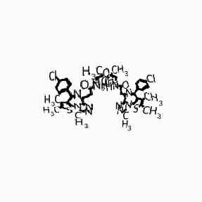 Cc1sc2c(c1C)C(c1ccc(Cl)cc1)=NC(CC(=O)NCC(C)(C)OC(C)(C)CNC(=O)CC1N=C(c3ccc(Cl)cc3)c3c(sc(C)c3C)-n3c(C)nnc31)c1nnc(C)n1-2